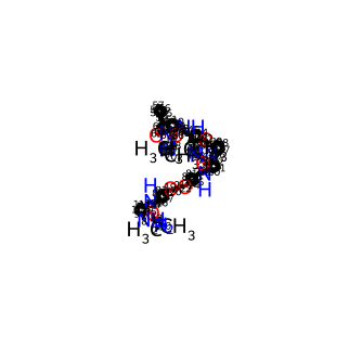 CN(C)CCOc1c(N)cccc1NCc1ccc(OCCOc2ccc(CNc3cccc(Nc4ccccc4COc4ccc(CNc5ccc6c(-c7ccccc7)cc(=O)[nH]c6c5OCCN(C)C)cc4)c3OCCN(C)C)cc2)cc1